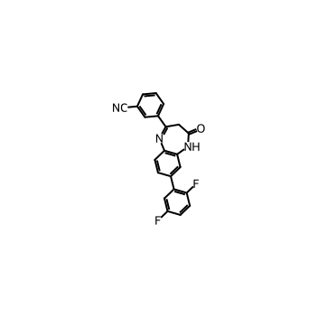 N#Cc1cccc(C2=Nc3ccc(-c4cc(F)ccc4F)cc3NC(=O)C2)c1